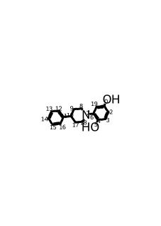 Oc1ccc(O)c(N2CCC(c3ccccc3)CC2)c1